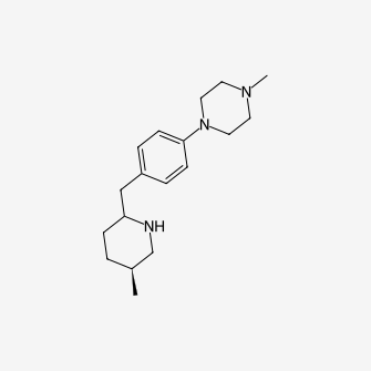 C[C@H]1CCC(Cc2ccc(N3CCN(C)CC3)cc2)NC1